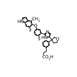 Cc1c(Oc2ccc(F)c(-c3ncc(C4(c5cccc(CCC(=O)O)c5)CCOC4)[nH]3)c2)c(F)cc2[nH]ccc12